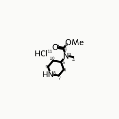 COC(=O)N(C)C1CCNCC1.Cl